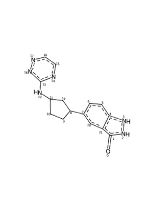 O=c1[nH][nH]c2ccc(C3CCC(Nc4nccnn4)C3)cc12